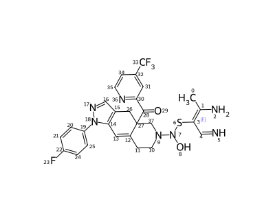 C/C(N)=C(/C=N)SN(O)N1CCC2=Cc3c(cnn3-c3ccc(F)cc3)CC2(C(=O)c2cc(C(F)(F)F)ccn2)C1